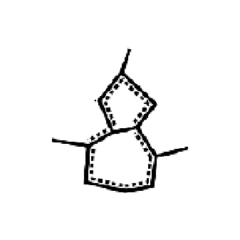 Cc1[c]c2c(C)cccc(C)c-2c1